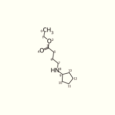 CCOC(=O)CCCNC1CCCC1